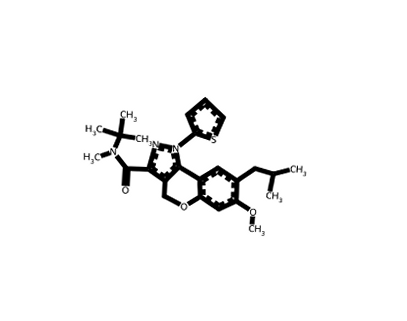 COc1cc2c(cc1CC(C)C)-c1c(c(C(=O)N(C)C(C)(C)C)nn1-c1cccs1)CO2